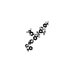 CC(C)c1ccccc1[C@@H]1CCCN1C1CC2(CCN(c3ccc(C(=O)NS(=O)(=O)c4cc5c(c([N+](=O)[O-])c4)N[C@@H](c4ccc(C(F)(F)F)cc4)CO5)c(Oc4cnc5[nH]cc(F)c5c4)c3)CC2)C1